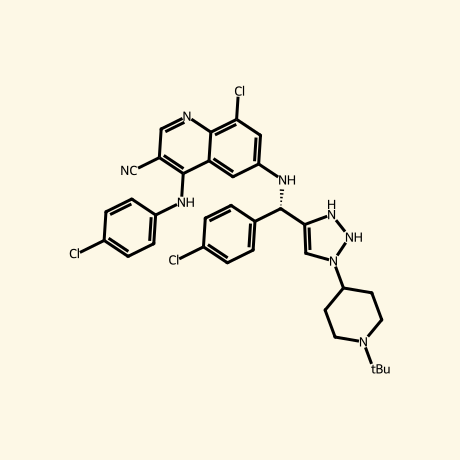 CC(C)(C)N1CCC(N2C=C([C@@H](Nc3cc(Cl)c4ncc(C#N)c(Nc5ccc(Cl)cc5)c4c3)c3ccc(Cl)cc3)NN2)CC1